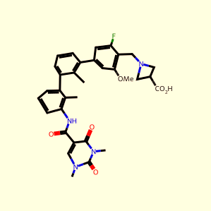 COc1cc(-c2cccc(-c3cccc(NC(=O)c4cn(C)c(=O)n(C)c4=O)c3C)c2C)cc(F)c1CN1CC(C(=O)O)C1